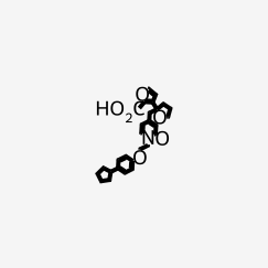 O=C(O)c1occc1C1(Cc2ccn(CCOc3ccc(C4CCCC4)cc3)c(=O)c2)CCCO1